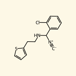 [C-]#[N+]C(NCCc1cccs1)c1ccccc1Cl